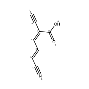 N#CC=CC=C(C#N)C(=O)O